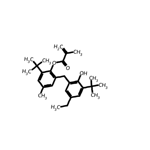 C=C(C)C(=O)Oc1c(Cc2cc(CC)cc(C(C)(C)C)c2O)cc(C)cc1C(C)(C)C